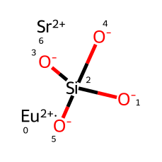 [Eu+2].[O-][Si]([O-])([O-])[O-].[Sr+2]